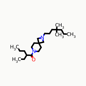 CCCC(CC)C(=O)N1CCC2(CC1)CN(CCCC(C)(C)CCC)C2